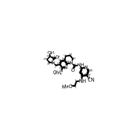 COCCNc1cc(NC(=O)N2CCCc3cc(CN4CCC(O)C4=O)c(C=O)nc32)ncc1C#N